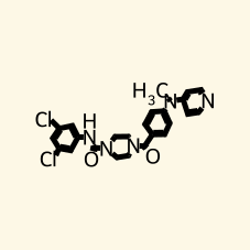 CN(c1ccncc1)c1ccc(C(=O)N2CCN(C(=O)Nc3cc(Cl)cc(Cl)c3)CC2)cc1